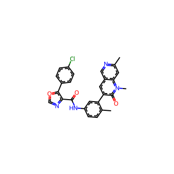 Cc1cc2c(cn1)cc(-c1cc(NC(=O)c3ncoc3-c3ccc(Cl)cc3)ccc1C)c(=O)n2C